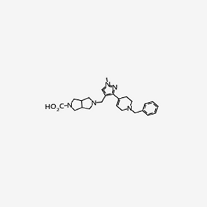 Cn1cc(CN2CC3CN(C(=O)O)CC3C2)c(C2=CCN(Cc3ccccc3)CC2)n1